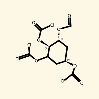 O=CO[C@@H]1C[C@@H](OC(=O)Cl)CC(OC(=O)Cl)[C@H]1OC(=O)Cl